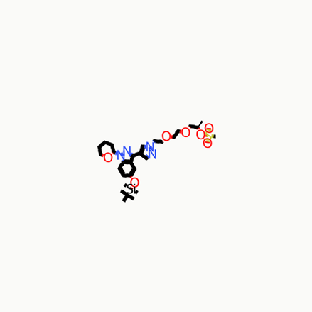 C[C@H](COCCOCCn1cc(-c2nn(C3CCCCO3)c3ccc(O[Si](C)(C)C(C)(C)C)cc23)cn1)OS(C)(=O)=O